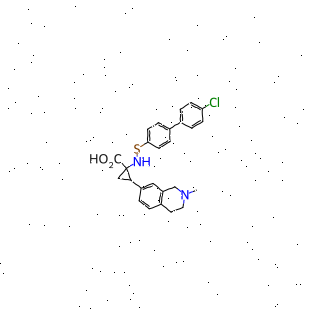 CN1CCc2ccc(C3CC3(NSc3ccc(-c4ccc(Cl)cc4)cc3)C(=O)O)cc2C1